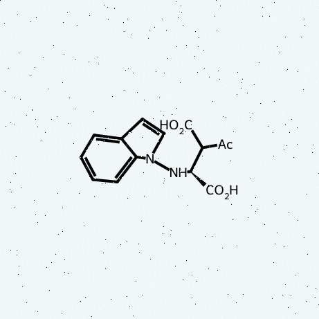 CC(=O)C(C(=O)O)[C@H](Nn1ccc2ccccc21)C(=O)O